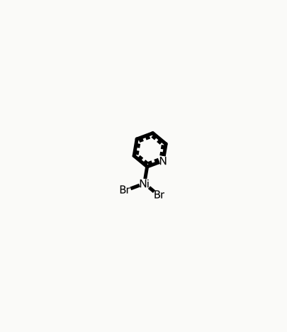 [Br][Ni]([Br])[c]1ccccn1